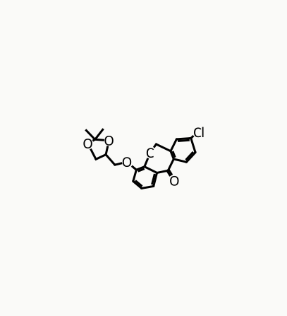 CC1(C)OCC(COc2cccc3c2CCc2cc(Cl)ccc2C3=O)O1